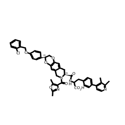 Cc1nc(C(=O)N2Cc3cc4c(cc3C[C@H]2C(=O)NC(Cc2ccc(-c3ccnc(C)c3C)cc2)C(=O)O)OC[C@H](c2ccc(OCc3ccccc3Cl)cc2)O4)c(C)o1